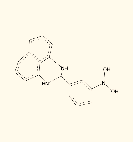 ON(O)c1cccc(C2Nc3cccc4cccc(c34)N2)c1